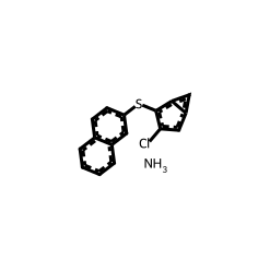 Clc1cc2cc-2c1Sc1ccc2ccccc2c1.N